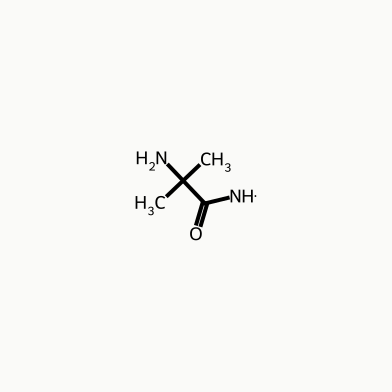 CC(C)(N)C([NH])=O